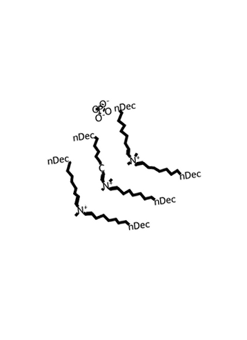 CCCCCCCCCCCCCCCCC=C[N+](C)(C)C=CCCCCCCCCCCCCCCCC.CCCCCCCCCCCCCCCCC=C[N+](C)(C)C=CCCCCCCCCCCCCCCCC.CCCCCCCCCCCCCCCCC=C[N+](C)(C)C=CCCCCCCCCCCCCCCCC.O=P([O-])([O-])[O-]